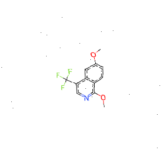 COc1ccc2c(OC)ncc(C(F)(F)F)c2c1